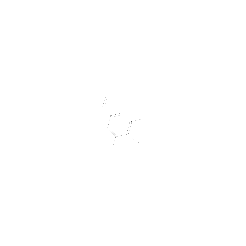 C=Cc1cc(C)c(O)c(Cl)c1